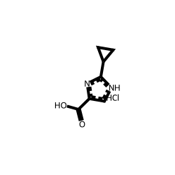 Cl.O=C(O)c1c[nH]c(C2CC2)n1